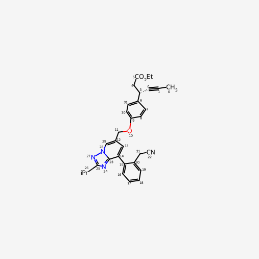 CC#C[C@@H](CC(=O)OCC)c1ccc(OCc2cc(-c3ccccc3CC#N)c3nc(C(C)C)nn3c2)cc1